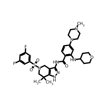 CN1CCN(c2ccc(C(=O)Nc3n[nH]c4c3CN(S(=O)(=O)c3cc(F)cc(F)c3)CC4(C)C)c(NC3CCOCC3)c2)CC1